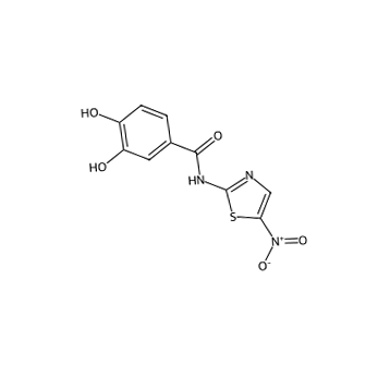 O=C(Nc1ncc([N+](=O)[O-])s1)c1ccc(O)c(O)c1